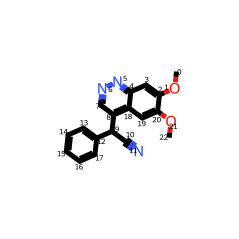 COc1cc2nncc(C(C#N)c3ccccc3)c2cc1OC